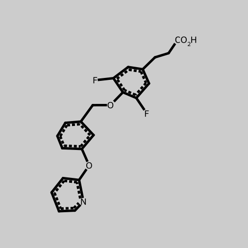 O=C(O)CCc1cc(F)c(OCc2cccc(Oc3ccccn3)c2)c(F)c1